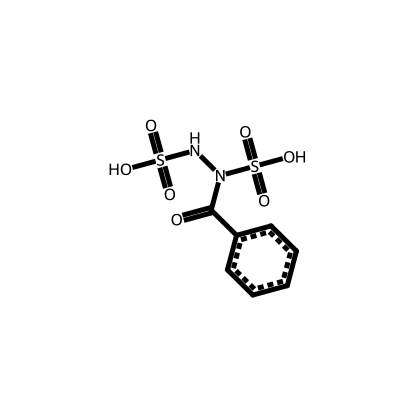 O=C(c1ccccc1)N(NS(=O)(=O)O)S(=O)(=O)O